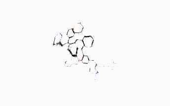 COc1ccc(C[C@H](C(=O)O)[C@H]2CCNC2)cc1CC1=C(Cc2cc(C[C@H](C(=O)O)[C@H]3CCNC3)ccc2OC)C([C@@H]2CCOc3ccc(C[C@H](C(=O)O)[C@H]4CCNC4)cc32)=CC=CN1